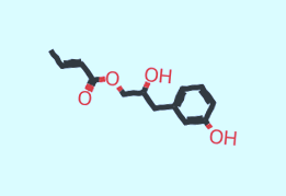 CC=CC(=O)OCC(O)Cc1cccc(O)c1